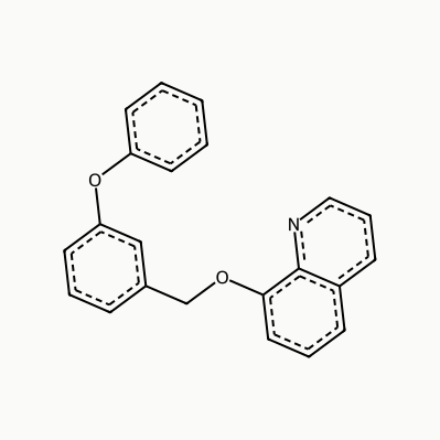 c1ccc(Oc2cccc(COc3cccc4cccnc34)c2)cc1